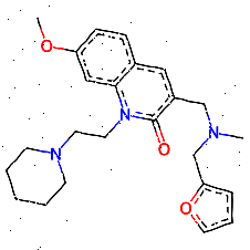 COc1ccc2cc(CN(C)Cc3ccco3)c(=O)n(CCN3CCCCC3)c2c1